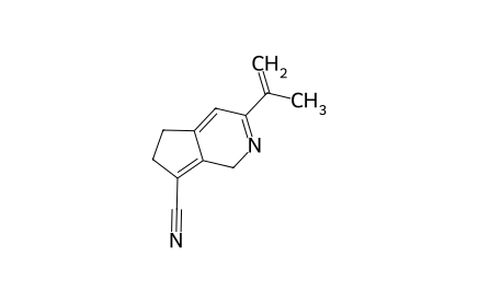 C=C(C)C1=NCC2=C(C#N)CCC2=C1